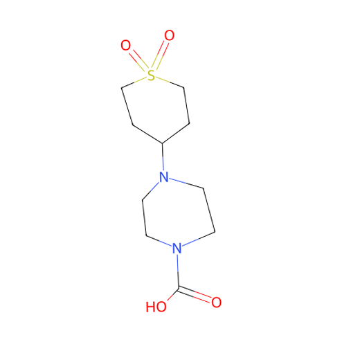 O=C(O)N1CCN(C2CCS(=O)(=O)CC2)CC1